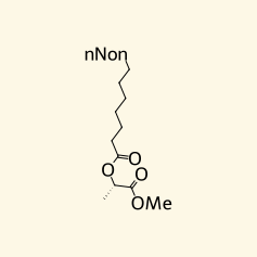 CCCCCCCCCCCCCCCC(=O)O[C@@H](C)C(=O)OC